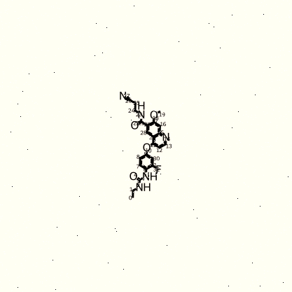 CCNC(=O)Nc1ccc(Oc2ccnc3cc(OC)c(C(=O)NCCC#N)cc23)cc1F